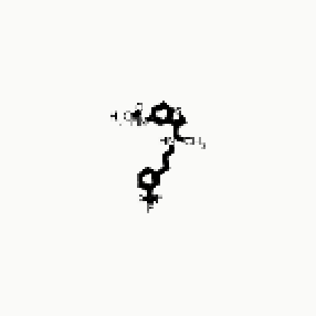 CC(=O)Nc1ccc2scc(C(C)NCCCc3cccc(C(F)(F)F)c3)c2c1